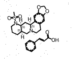 CS(=O)(=O)N1CCC[C@@H]2CN3CCc4cc5c(cc4[C@@H]3C[C@@H]21)OCO5.O=C(O)C=Cc1ccccc1